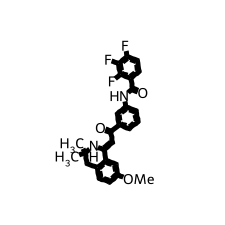 COc1ccc2c(c1)C(=CC(=O)c1cccc(NC(=O)c3ccc(F)c(F)c3F)c1)NC(C)(C)C2